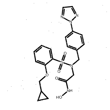 O=C(CN(Cc1ccc(-n2nccn2)cc1)S(=O)(=O)c1ccccc1OCC1CC1)NO